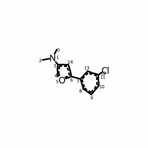 CN(C)c1[c]oc(-c2cccc(Cl)c2)c1